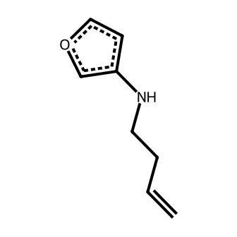 C=CCCNc1ccoc1